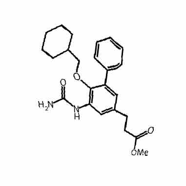 COC(=O)CCc1cc(NC(N)=O)c(OCC2CCCCC2)c(-c2ccccc2)c1